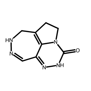 O=C1NN=C2C=NNCC3=C2N1CC3